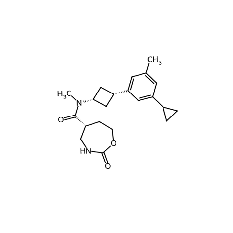 Cc1cc(C2CC2)cc([C@H]2C[C@@H](N(C)C(=O)[C@@H]3CCOC(=O)NC3)C2)c1